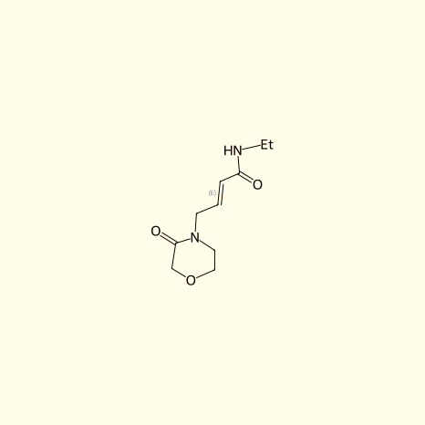 CCNC(=O)/C=C/CN1CCOCC1=O